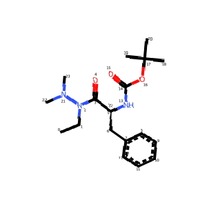 CCN(C(=O)[C@H](Cc1ccccc1)NC(=O)OC(C)(C)C)N(C)C